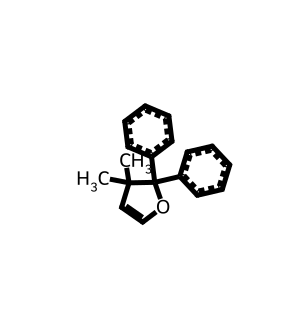 CC1(C)C=COC1(c1ccccc1)c1ccccc1